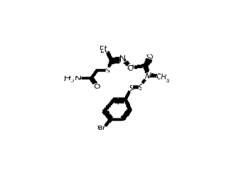 CCC(=NOC(=O)N(C)SSc1ccc(Br)cc1)SCC(N)=O